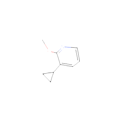 COc1ncccc1C1CC1